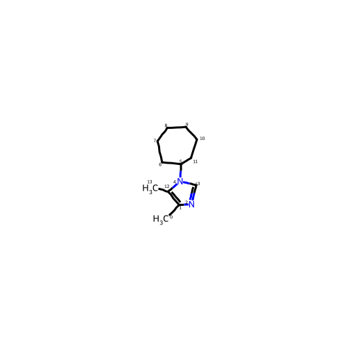 Cc1n[c]n(C2CCCCCC2)c1C